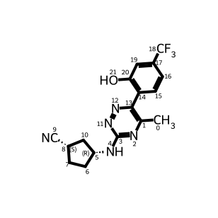 Cc1nc(N[C@@H]2CC[C@H](C#N)C2)nnc1-c1ccc(C(F)(F)F)cc1O